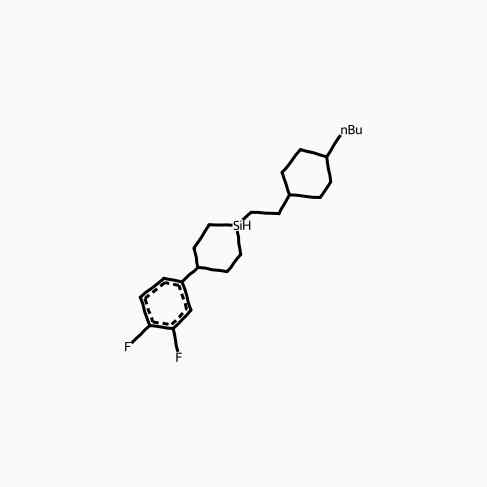 CCCCC1CCC(CC[SiH]2CCC(c3ccc(F)c(F)c3)CC2)CC1